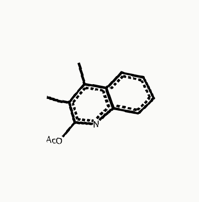 CC(=O)Oc1nc2ccccc2c(C)c1C